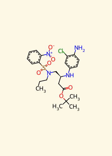 CCCN(C[C@H](CC(=O)OC(C)(C)C)Nc1ccc(N)c(Cl)c1)S(=O)(=O)c1ccccc1[N+](=O)[O-]